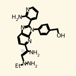 CCN(N)/C=C(\N)c1ccc2nc(-c3cccnc3N)n(-c3ccc(CO)cc3)c2n1